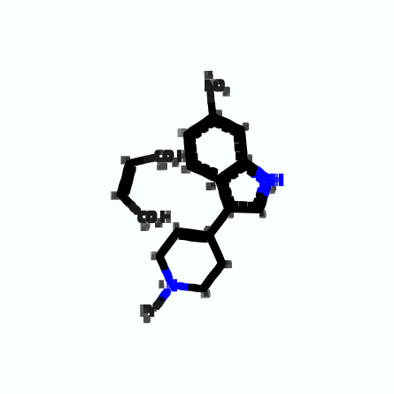 CC(C)N1CC=C(c2c[nH]c3cc([N+](=O)[O-])ccc23)CC1.O=C(O)/C=C\C(=O)O